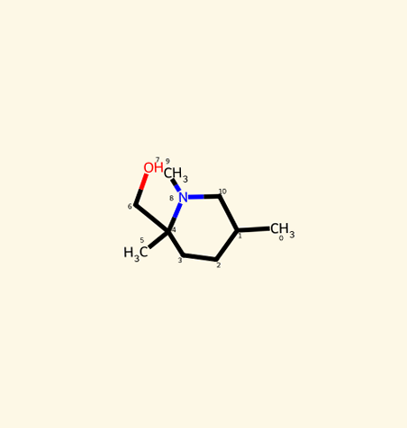 CC1CCC(C)(CO)N(C)C1